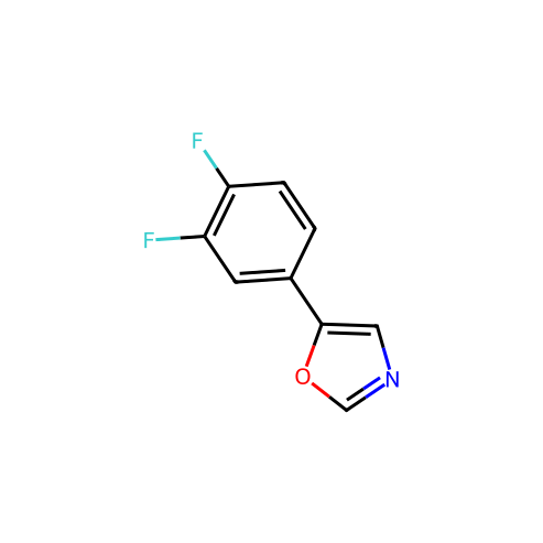 Fc1ccc(-c2cnco2)cc1F